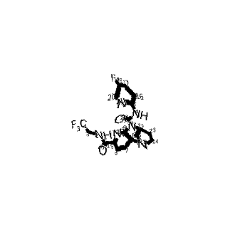 O=C(NCC(F)(F)F)c1ccc2c(n1)N(C(=O)Nc1ccc(F)cn1)C1CCN2C1